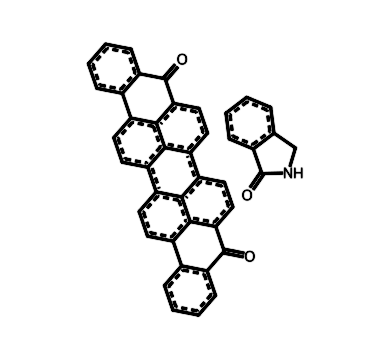 O=C1NCc2ccccc21.O=C1c2ccccc2-c2ccc3c4ccc5c6c(ccc(c7ccc1c2c73)c64)C(=O)c1ccccc1-5